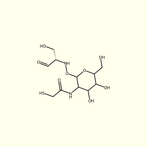 O=C[C@H](CO)NOC1OC(CO)C(O)C(O)C1NC(=O)CS